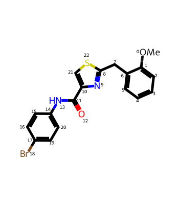 COc1ccccc1Cc1nc(C(=O)Nc2ccc(Br)cc2)cs1